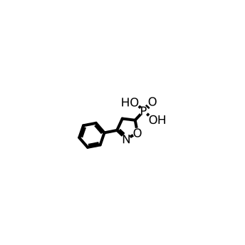 O=P(O)(O)C1CC(c2ccccc2)=NO1